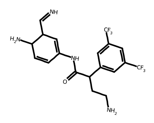 N=CC1C=C(NC(=O)C(CCN)c2cc(C(F)(F)F)cc(C(F)(F)F)c2)C=CC1N